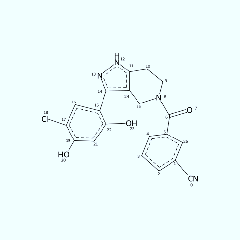 N#Cc1cccc(C(=O)N2CCc3[nH]nc(-c4cc(Cl)c(O)cc4O)c3C2)c1